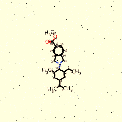 CCC1CC(C(C)C)CC(C)C1N1Cc2ccc(C(=O)OC)cc2C1